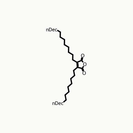 CCCCCCCCCCCCCCCCCCC1=C(CCCCCCCCCCCCCCCCCC)C(=O)OC1=O